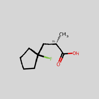 C[C@@H](CC1(F)CCCC1)C(=O)O